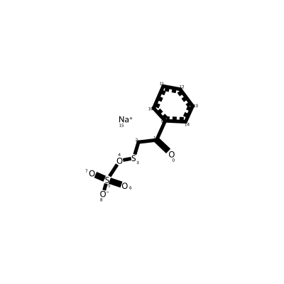 O=C(CSOS(=O)(=O)[O-])c1ccccc1.[Na+]